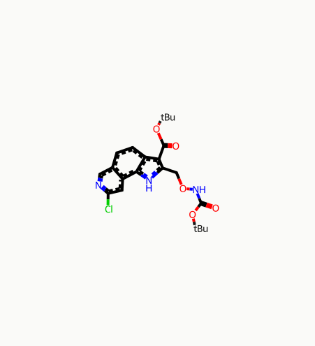 CC(C)(C)OC(=O)NOCc1[nH]c2c(ccc3cnc(Cl)cc32)c1C(=O)OC(C)(C)C